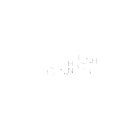 C=Cc1cc(CNC(=O)NCc2ccc(C(C)(C)C)cc2)cc(F)c1NC